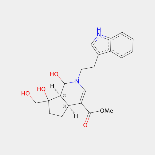 COC(=O)C1=CN(CCc2c[nH]c3ccccc23)C(O)[C@H]2[C@@H]1CCC2(O)CO